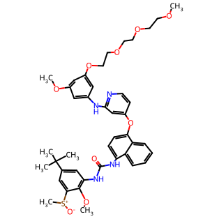 COCCOCCOCCOc1cc(Nc2cc(Oc3ccc(NC(=O)Nc4cc(C(C)(C)C)cc([S+](C)[O-])c4OC)c4ccccc34)ccn2)cc(OC)c1